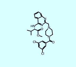 COC(=O)[C@@H](Nc1nc(CN2CCN(C(=O)c3cc(Cl)cc(Cl)c3)CC2)nc2ccccc12)C(C)C